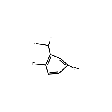 Oc1ccc(F)c(C(F)F)c1